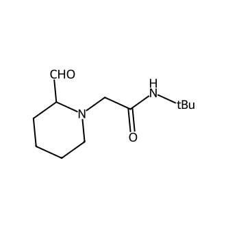 CC(C)(C)NC(=O)CN1CCCCC1C=O